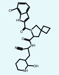 N#CC(CC1CCCNC1O)NC(=O)C1CC2(CCC2)CN1C(=O)c1cc2cccc(Cl)c2[nH]1